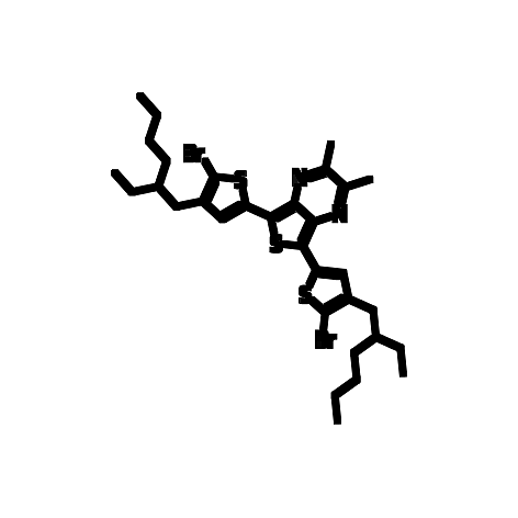 CCCCC(CC)Cc1cc(-c2sc(-c3cc(CC(CC)CCCC)c(Br)s3)c3nc(C)c(C)nc23)sc1Br